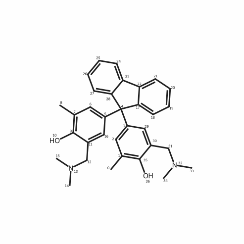 Cc1cc(C2(c3cc(C)c(O)c(CN(C)C)c3)c3ccccc3-c3ccccc32)cc(CN(C)C)c1O